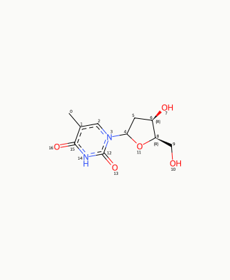 Cc1cn(C2C[C@@H](O)[C@@H](CO)O2)c(=O)[nH]c1=O